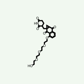 O=C1CCC(CC23CC2C(=O)c2cccc(OCCOCCOCCOCCO)c2C3=O)C(=O)N1